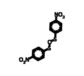 O=[N+]([O-])c1ccc(SOSc2ccc([N+](=O)[O-])cc2)cc1